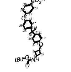 CC(C)(C)OC(=O)NC1CC(Oc2ccc(C(C)(C)c3ccc(Oc4ccc(C(=O)O)cn4)cc3)cc2)C1